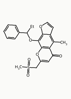 CCC(Oc1c2occc2c(C)c2c(=O)cc(CS(C)(=O)=O)oc12)c1ccccc1